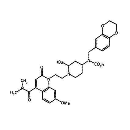 COc1ccc2c(C(=O)N(C)C)cc(=O)n(CCN3CCC(N(Cc4ccc5c(c4)OCCO5)C(=O)O)CC3C(C)(C)C)c2c1